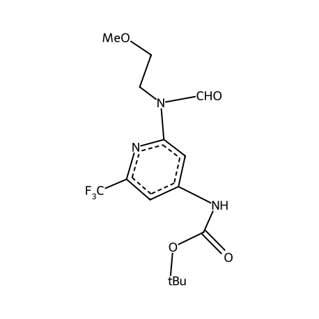 COCCN(C=O)c1cc(NC(=O)OC(C)(C)C)cc(C(F)(F)F)n1